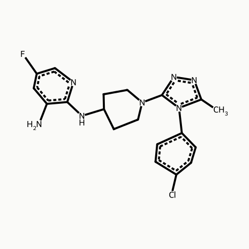 Cc1nnc(N2CCC(Nc3ncc(F)cc3N)CC2)n1-c1ccc(Cl)cc1